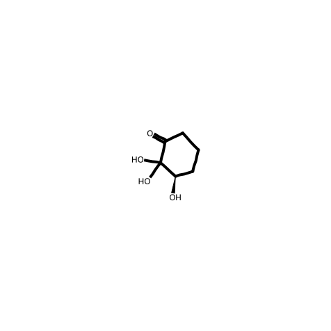 O=C1CCC[C@@H](O)C1(O)O